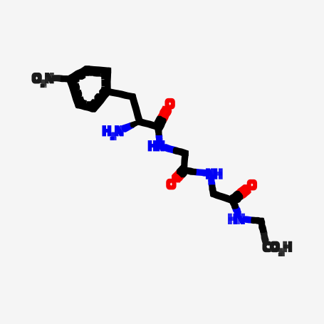 N[C@@H](Cc1ccc([N+](=O)[O-])cc1)C(=O)NCC(=O)NCC(=O)NCC(=O)O